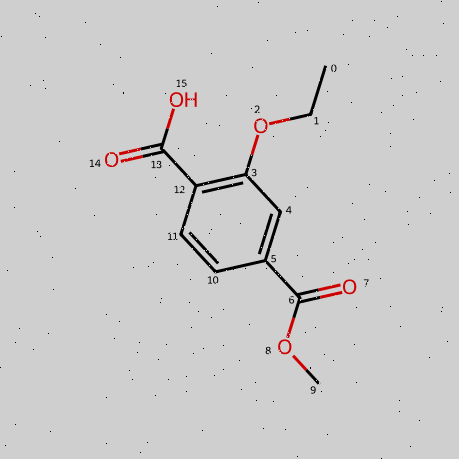 CCOc1cc(C(=O)OC)ccc1C(=O)O